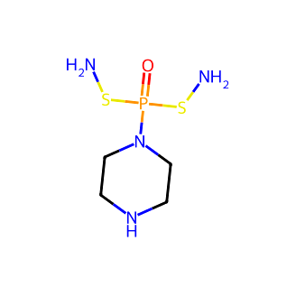 NSP(=O)(SN)N1CCNCC1